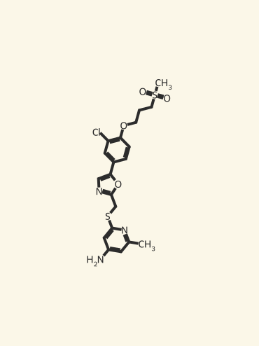 Cc1cc(N)cc(SCc2ncc(-c3ccc(OCCCS(C)(=O)=O)c(Cl)c3)o2)n1